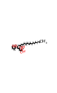 CCCCCCCCC=CCCCCCCC[C@H](C[C@H](O)CC(=O)O)OC1CCCCO1